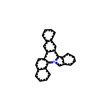 c1ccc2cc3c(cc2c1)c1ccc2ccccc2c1n1cc2ccccc2c31